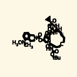 CN(C)c1cccc2c1CCN(C(=O)O[C@@H]1C[C@H]3C(=O)N[C@]4(C(=O)NS(=O)(=O)C5CC5)C[C@H]4/C=C/CCCCC[C@H](NC(=O)OC(C)(C)C)C(=O)N3C1)C2